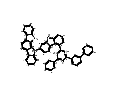 c1ccc(-c2cccc(-c3nc(-c4ccccc4)nc(-c4cccc5oc6cc(-n7c8ccccc8c8ccc9c%10ccccc%10sc9c87)ccc6c45)n3)c2)cc1